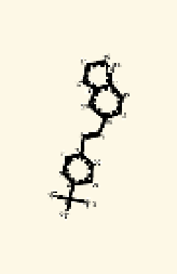 FC(F)(F)c1ccc(C=Cc2ccc3ncccc3c2)cc1